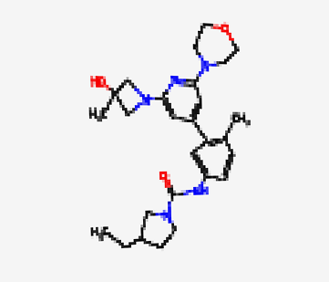 CCC1CCN(C(=O)Nc2ccc(C)c(-c3cc(N4CCOCC4)nc(N4CC(C)(O)C4)c3)c2)C1